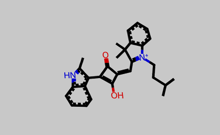 Cc1[nH]c2ccccc2c1C1=C(O)/C(=C/C2=[N+](CCC(C)C)c3ccccc3C2(C)C)C1=O